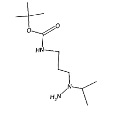 CC(C)N(N)CCCNC(=O)OC(C)(C)C